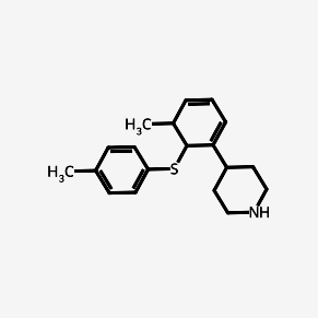 Cc1ccc(SC2C(C3CCNCC3)=CC=CC2C)cc1